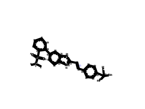 CN(C)S(=O)(=O)c1ccccc1-c1ccc2[nH]c(/C=C/c3ccc(C(F)(F)F)cc3)nc2c1